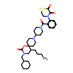 CCCCC1CN(CC2CCCCC2)C(=O)OC12CCN(C1CCN(C(=O)c3ccccc3N3CC[SH4]C(=O)C3=O)CC1)CC2